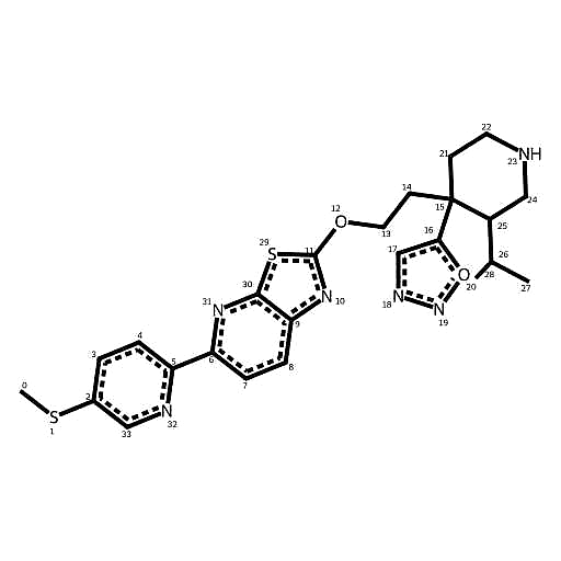 CSc1ccc(-c2ccc3nc(OCCC4(c5cnno5)CCNCC4C(C)C)sc3n2)nc1